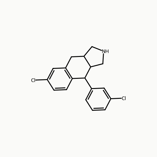 Clc1cccc(C2c3ccc(Cl)cc3CC3CNCC32)c1